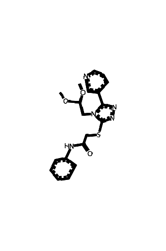 COC(Cn1c(SCC(=O)Nc2ccccc2)nnc1-c1cccnc1)OC